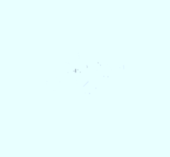 COC(C(=O)N[C@@](Cc1ccccc1)(c1cc(F)cc(C(F)(F)F)c1)c1ccc(Cl)cn1)(c1ccccc1)C(F)(F)F